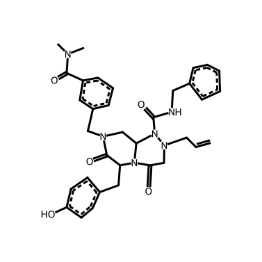 C=CCN1CC(=O)N2C(Cc3ccc(O)cc3)C(=O)N(Cc3cccc(C(=O)N(C)C)c3)CC2N1C(=O)NCc1ccccc1